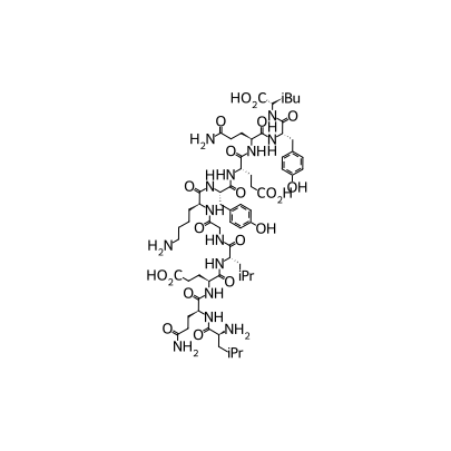 CC[C@H](C)[C@H](NC(=O)[C@H](Cc1ccc(O)cc1)NC(=O)[C@H](CCC(N)=O)NC(=O)[C@H](CCC(=O)O)NC(=O)[C@H](Cc1ccc(O)cc1)NC(=O)[C@H](CCCCN)NC(=O)CNC(=O)[C@H](CC(C)C)NC(=O)[C@H](CCC(=O)O)NC(=O)[C@H](CCC(N)=O)NC(=O)[C@@H](N)CC(C)C)C(=O)O